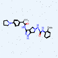 COc1ccccc1NC(=O)NN1Cc2[nH]nc(NC(=O)C(C)c3ccc(N4CCCC4)cc3)c2C1